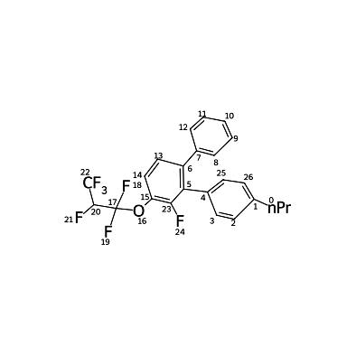 CCCc1ccc(-c2c(-c3ccccc3)ccc(OC(F)(F)C(F)C(F)(F)F)c2F)cc1